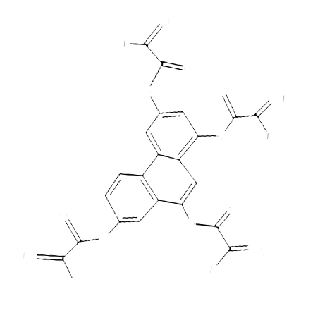 C=C(F)C(=O)Oc1ccc2c(c1)c(OC(=O)C(=C)F)cc1c(OC(=O)C(=C)F)cc(OC(=O)C(=C)F)cc12